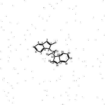 CC1=Cc2ccccc2[CH]1[Zr]([CH3])([CH3])[CH]1C(C)=Cc2ccccc21